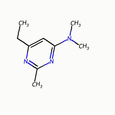 CCc1cc(N(C)C)nc(C)n1